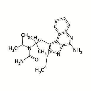 CCCn1nc2c(N)nc3ccccc3c2c1CC(C)(C)N(C(N)=O)C(C)C